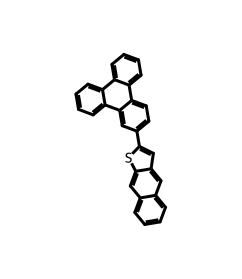 c1ccc2cc3sc(-c4ccc5c6ccccc6c6ccccc6c5c4)cc3cc2c1